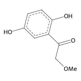 COCC(=O)c1cc(O)ccc1O